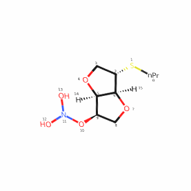 CCCS[C@H]1CO[C@H]2[C@@H]1OC[C@H]2ON(O)O